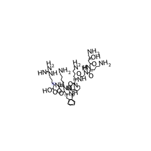 N=C(N)NCC/C=C(\NC(=O)[C@H](CCCCN)NC(=O)[C@H](Cc1ccccc1F)NC(=O)[C@@H]1CCCN1C(=O)[C@@H](CCCN)NC(=O)CNC(=O)[C@H](CCCN)NC(=O)C[C@@H](O)CN)C(=O)O